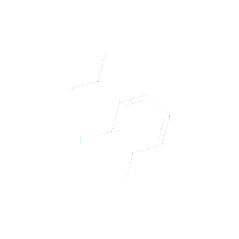 CC(C)c1cccc(Cl)c1F